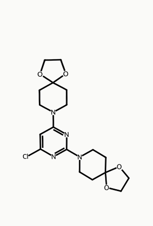 Clc1cc(N2CCC3(CC2)OCCO3)nc(N2CCC3(CC2)OCCO3)n1